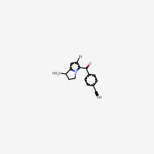 C#Cc1ccc(C(=O)c2c(CC)cc3n2CCC3C(=O)O)cc1